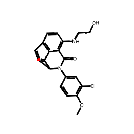 COc1ccc(N2C(=O)c3c(NCCO)ccc4c3C(=O)C2C=C4)cc1Cl